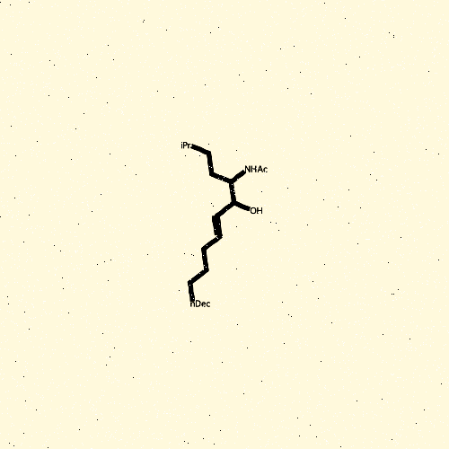 CCCCCCCCCCCCCC=CC(O)C(CCC(C)C)NC(C)=O